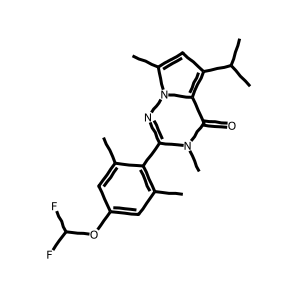 Cc1cc(OC(F)F)cc(C)c1-c1nn2c(C)cc(C(C)C)c2c(=O)n1C